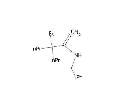 C=C(NCC(C)C)C(CC)(CCC)CCC